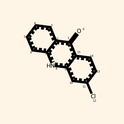 O=c1c2ccccc2[nH]c2cc(Cl)ccc12